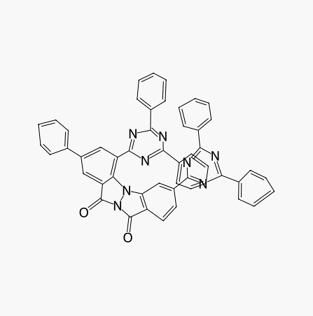 O=c1c2ccc(-c3nc(-c4ccccc4)nc(-c4ccccc4)n3)cc2n2c3c(-c4nc(-c5ccccc5)nc(-c5ccccc5)n4)cc(-c4ccccc4)cc3c(=O)n12